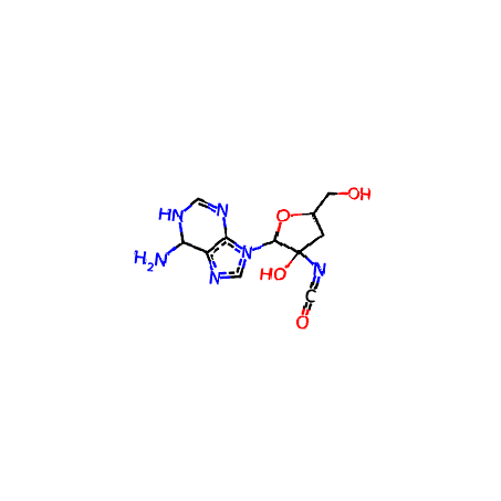 NC1NC=Nc2c1ncn2C1OC(CO)CC1(O)N=C=O